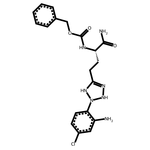 NC(=O)[C@H](CCC1=NNN(c2ccc(Cl)cc2N)N1)NC(=O)OCc1ccccc1